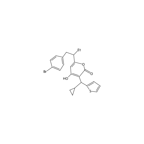 CCC(Cc1ccc(Br)cc1)c1cc(O)c(C(c2cccs2)C2CC2)c(=O)o1